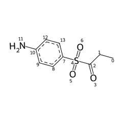 CCC(=O)S(=O)(=O)c1ccc(N)cc1